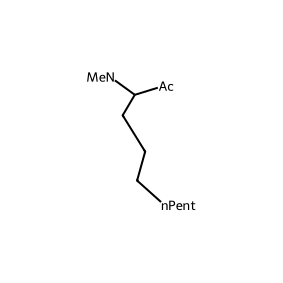 CCCCCCCCC(NC)C(C)=O